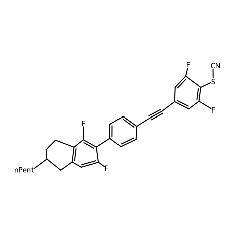 CCCCCC1CCc2c(cc(F)c(-c3ccc(C#Cc4cc(F)c(SC#N)c(F)c4)cc3)c2F)C1